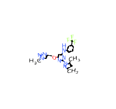 Cc1cc(C)n(-c2nc(Nc3cccc(C(F)(F)F)c3)cc(OCc3cn(C)nn3)n2)n1